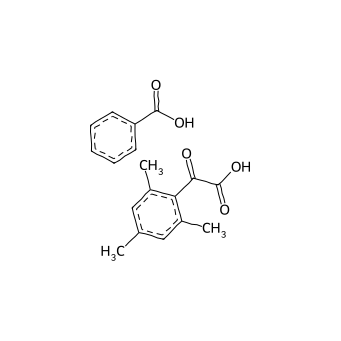 Cc1cc(C)c(C(=O)C(=O)O)c(C)c1.O=C(O)c1ccccc1